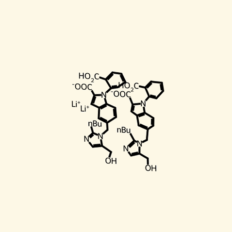 CCCCc1ncc(CO)n1Cc1ccc2c(c1)cc(C(=O)[O-])n2-c1ccccc1C(=O)O.CCCCc1ncc(CO)n1Cc1ccc2c(c1)cc(C(=O)[O-])n2-c1ccccc1C(=O)O.[Li+].[Li+]